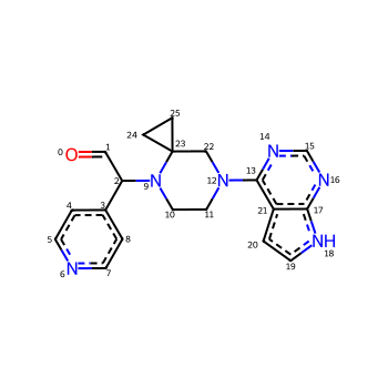 O=CC(c1ccncc1)N1CCN(c2ncnc3[nH]ccc23)CC12CC2